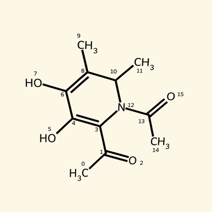 CC(=O)C1=C(O)C(O)=C(C)C(C)N1C(C)=O